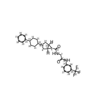 O=C(CNC(=O)[C@H]1[C@@H]2CN(C3CCC(c4ccccc4)CC3)C[C@@H]21)Nc1cccc(C(F)(F)F)c1